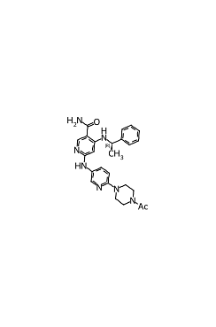 CC(=O)N1CCN(c2ccc(Nc3cc(N[C@H](C)c4ccccc4)c(C(N)=O)cn3)cn2)CC1